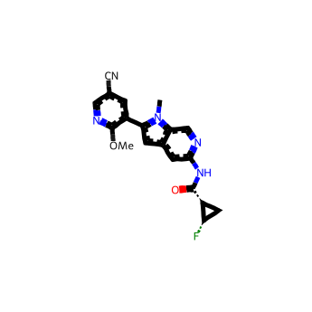 COc1ncc(C#N)cc1-c1cc2cc(NC(=O)[C@@H]3C[C@@H]3F)ncc2n1C